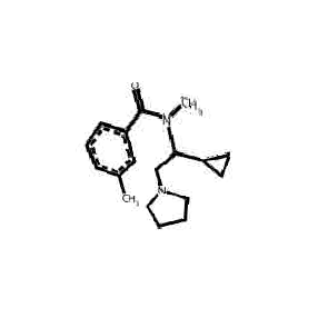 Cc1cccc(C(=O)N(C)C(CN2CCCC2)C2CC2)c1